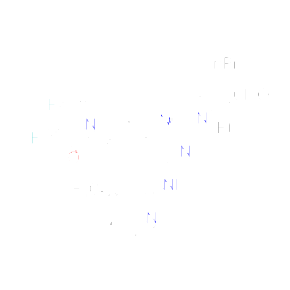 CCCC(C=O)CN(CC)c1nc(Nc2cc(C(F)(F)F)ccn2)cc(C2CCCN(C(=O)C(F)F)C2)n1